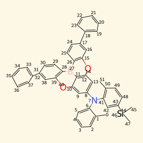 Cc1ccccc1N(c1cc2c3c(c1)Oc1cc(-c4ccccc4)ccc1B3c1ccc(-c3ccccc3)cc1O2)c1cc([Si](C)(C)C)ccc1C